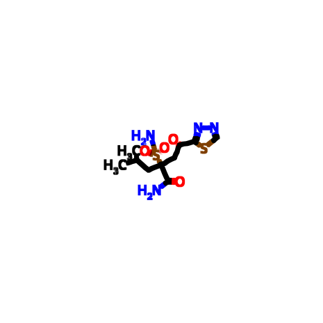 CC(C)CC(CC(=O)c1nncs1)(C(N)=O)S(N)(=O)=O